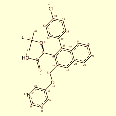 CC(C)(C)O[C@H](C(=O)O)c1c(COc2cncnc2)cc2ccccc2c1-c1ccc(Cl)cc1